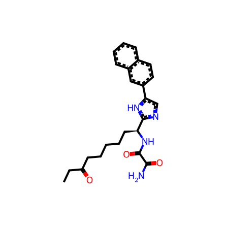 CCC(=O)CCCCC[C@H](NC(=O)C(N)=O)c1ncc(-c2ccc3ccccc3c2)[nH]1